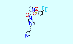 O=C(CC1CCCCN1S(=O)(=O)c1cccc(C(F)(F)F)c1)N1CCn2c(CCc3ccncc3)ccc2C1